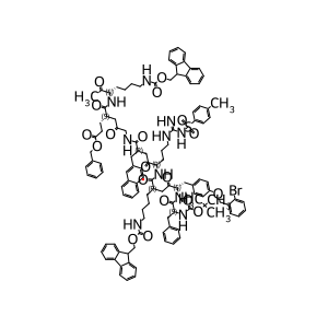 CC(=O)[C@H](CCCCNC(=O)OCC1c2ccccc2-c2ccccc21)NC(=O)[C@@H](CCC(=O)OCc1ccccc1)CC(=O)CNC(=O)[C@@H](CC(=O)[C@@H](CCCNC(=N)NS(=O)(=O)c1ccc(C)cc1)NC(=O)[C@H](CCCCNC(=O)OCC1c2ccccc2-c2ccccc21)CC(=O)[C@H](Cc1ccc(OCc2ccccc2Br)cc1)NC(=O)[C@H](Cc1ccccc1)NC(=O)OC(C)(C)C)Cc1ccc2ccccc2c1